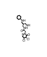 N=C/C(=C\Nc1ccccc1)CNC(=O)Cn1ncc(Cl)c(Cl)c1=O